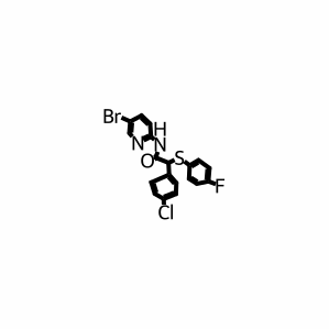 O=C(Nc1ccc(Br)cn1)C(Sc1ccc(F)cc1)c1ccc(Cl)cc1